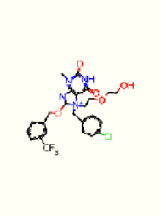 Cn1c2c(c(=O)[nH]c1=O)[N+](CCOCCO)(Cc1ccc(Cl)cc1)C(OCc1cccc(C(F)(F)F)c1)=N2